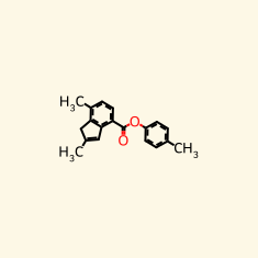 CC1=Cc2c(C(=O)Oc3ccc(C)cc3)ccc(C)c2C1